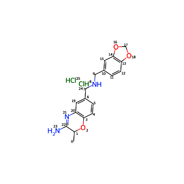 CC1Oc2ccc(CNCc3ccc4c(c3)OCO4)cc2N=C1N.Cl.Cl